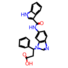 O=C(O)CC(c1ccccc1)n1cnc2ccc(NC(=O)c3c[nH]c4ccccc34)cc21